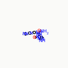 CN1CCN(C2CCN(c3ccc(Nc4nc(NC5COC5)c(-c5ccnc6[nH]cnc56)nc4C(N)=O)cc3)CC2)CC1